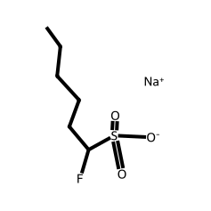 CCCCCC(F)S(=O)(=O)[O-].[Na+]